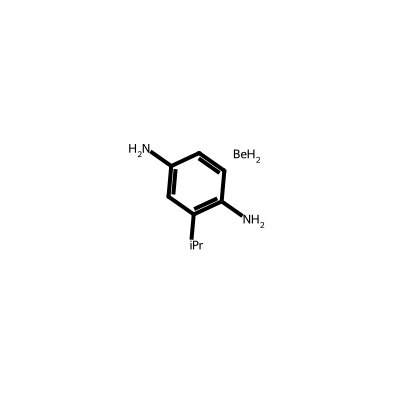 CC(C)c1cc(N)ccc1N.[BeH2]